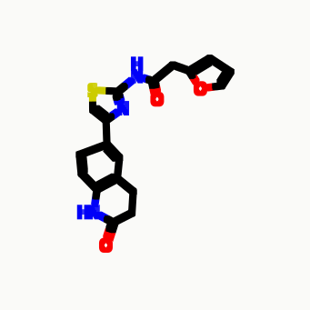 O=C(Cc1ccco1)Nc1nc(-c2ccc3c(c2)CCC(=O)N3)cs1